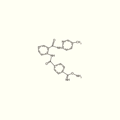 Cc1ccc(NC(=O)c2ccccc2NC(=O)c2ccc(C(=N)ON)cc2)nc1